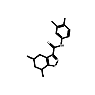 Cc1ccc(NC(=O)c2noc3c2CC(C)CC3C)cc1C